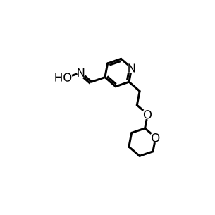 ON=Cc1ccnc(CCOC2CCCCO2)c1